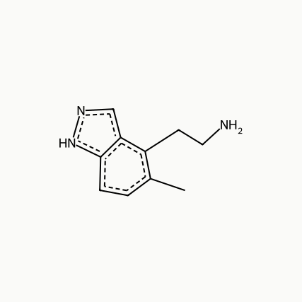 Cc1ccc2[nH]ncc2c1CCN